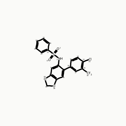 O=S(=O)(Nc1cc2c(cc1-c1ccc(Cl)c(C(F)(F)F)c1)OCO2)c1ccccc1